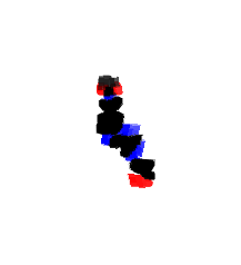 CC(C)(C)OC(=O)N1CC(c2ccc3c(c2)NC(c2cnn(C4CC(CO)C4)c2)C=N3)C1